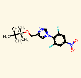 CC(C)(C)[Si](C)(C)OCc1cn(-c2c(F)cc([N+](=O)[O-])cc2F)cn1